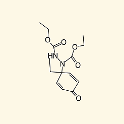 CCOC(=O)NN(C(=O)OCC)C1(CC)C=CC(=O)C=C1